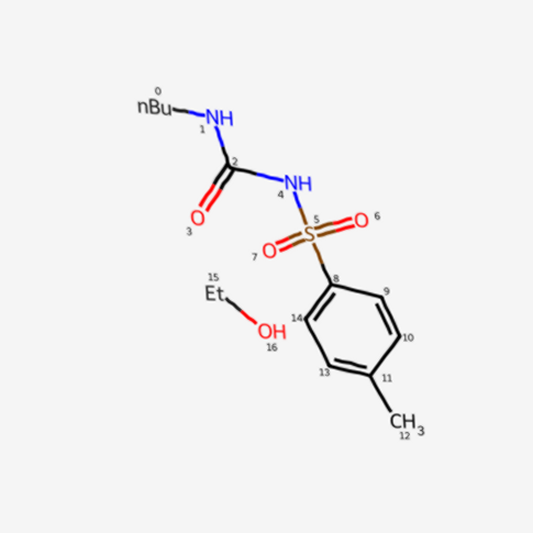 CCCCNC(=O)NS(=O)(=O)c1ccc(C)cc1.CCO